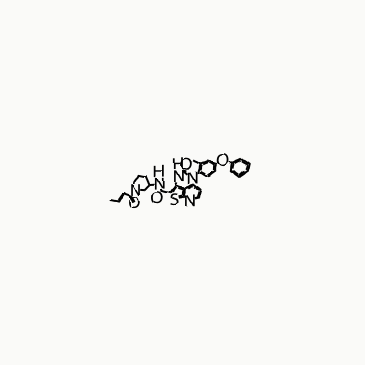 CC=CC(=O)N1CCCC(NC(=O)c2sc3nccc4c3c2NC(=O)N4c2ccc(Oc3ccccc3)cc2C)C1